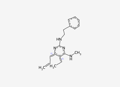 C=C/C=c1/nc(NCCc2ccccc2)nc(NC)/c1=C/C